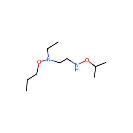 CCCON(CC)C[CH]NOC(C)C